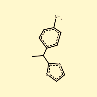 CC(c1ccc(N)cc1)c1nccs1